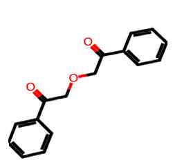 O=C(COCC(=O)c1ccccc1)c1ccccc1